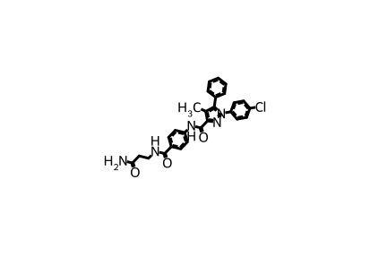 Cc1c(C(=O)Nc2ccc(C(=O)NCCC(N)=O)cc2)nn(-c2ccc(Cl)cc2)c1-c1ccccc1